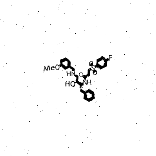 COc1cccc(CNC[C@H](O)[C@H](Cc2ccccc2)NC(=O)CCS(=O)(=O)c2ccc(F)cc2)c1